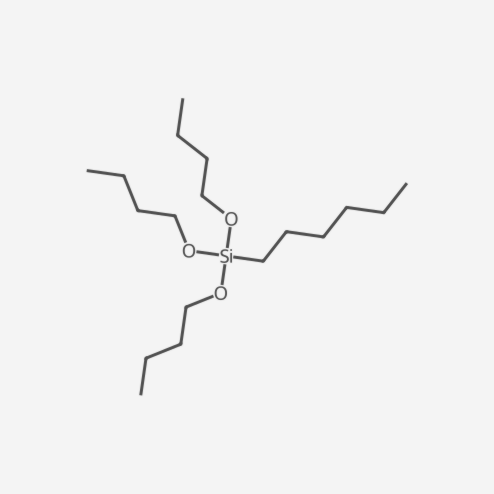 CCCCCC[Si](OCCCC)(OCCCC)OCCCC